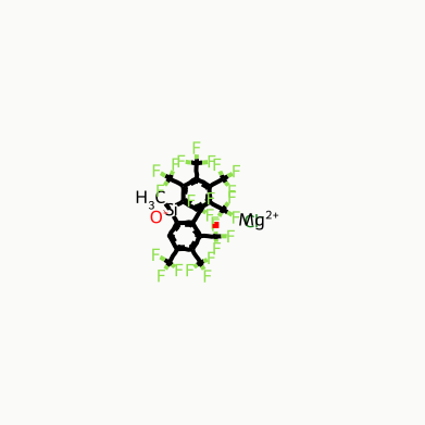 C[Si]([O-])(c1cc(C(F)(F)F)c(C(F)(F)F)c(C(F)(F)F)c1C(F)(F)F)c1cc(C(F)(F)F)c(C(F)(F)F)c(C(F)(F)F)c1C(F)(F)F.[Cl-].[Mg+2]